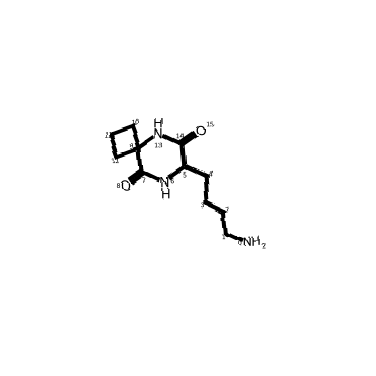 NCCCCC1NC(=O)C2(CCC2)NC1=O